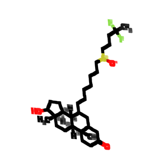 C[C@]12CCC(=O)CC1CC(CCCCCCC[S+]([O-])CCCC(F)(F)C(F)(F)F)[C@@H]1[C@H]2CC[C@]2(C)C(O)CC[C@@H]12